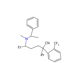 CCC(CCC(C#N)(c1ccccc1C(F)(F)F)C(C)C)N(C)C(C)c1ccccc1